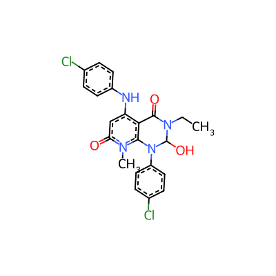 CCN1C(=O)c2c(Nc3ccc(Cl)cc3)cc(=O)n(C)c2N(c2ccc(Cl)cc2)C1O